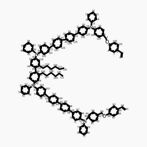 C=Cc1ccc(OCc2ccc(N(c3ccccc3)c3ccc(-c4ccc(-c5ccc(-c6ccc(N(c7ccccc7)c7ccc(-c8ccc(N(c9ccccc9)c9ccc(-c%10ccc(-c%11ccc(-c%12ccc(N(c%13ccccc%13)c%13ccc(COc%14ccc(C=C)cc%14)cc%13)cc%12)cc%11)cc%10)cc9)cc8CCCCCC)c(CCCCCC)c7)cc6)cc5)cc4)cc3)cc2)cc1